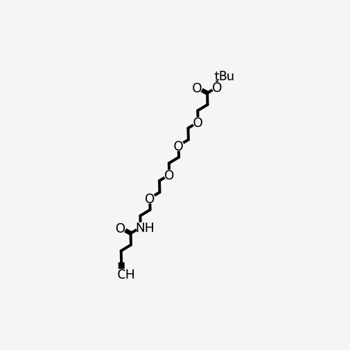 C#CCCC(=O)NCCOCCOCCOCCOCCC(=O)OC(C)(C)C